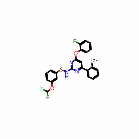 CC(C)c1ccccc1-c1cc(Oc2ccccc2F)nc(NSc2cccc(OC(F)F)c2)n1